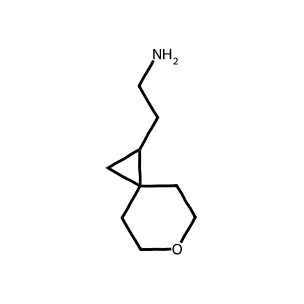 NCCC1CC12CCOCC2